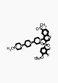 CN1CCN(C2CCN(C3CCN(c4c(S(=O)(=O)c5ccc(OC(C)(C)C)c(F)c5F)cnc5ccc([S+](C)[O-])cc45)CC3)CC2)CC1